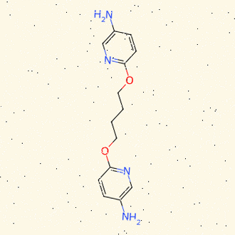 Nc1ccc(OCCCCOc2ccc(N)cn2)nc1